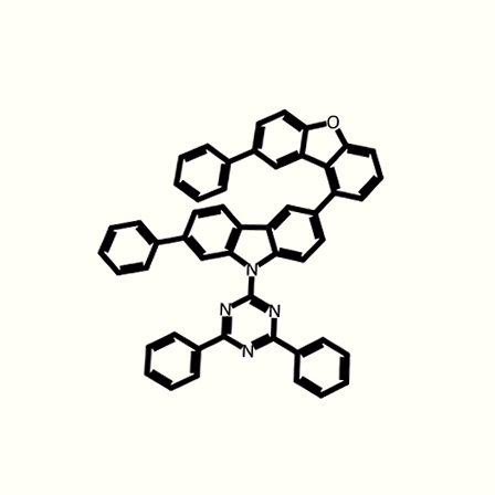 c1ccc(-c2ccc3oc4cccc(-c5ccc6c(c5)c5ccc(-c7ccccc7)cc5n6-c5nc(-c6ccccc6)nc(-c6ccccc6)n5)c4c3c2)cc1